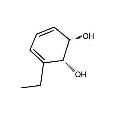 CCC1=CC=C[C@H](O)[C@@H]1O